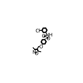 Cc1noc(C)c1COc1ccc(S(=O)(=O)Nc2cccc(Cl)c2)cc1